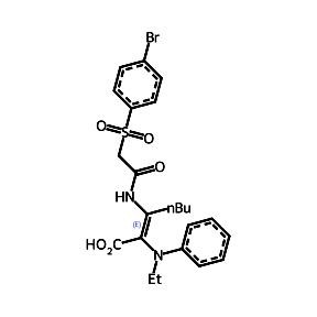 CCCC/C(NC(=O)CS(=O)(=O)c1ccc(Br)cc1)=C(/C(=O)O)N(CC)c1ccccc1